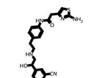 N#Cc1cccc(C(O)CNCCc2ccc(NC(=O)Cc3csc(N)n3)cc2)c1